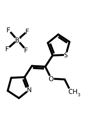 CCOC(=CC1=NCCC1)c1cccs1.F[B-](F)(F)F